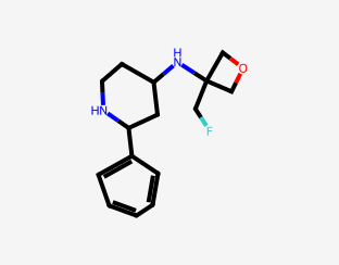 FCC1(NC2CCNC(c3ccccc3)C2)COC1